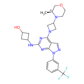 C[C@H]1COCCN1C1CN(c2nc(NC3CC(O)C3)nc3c2cnn3-c2cccc(C(F)(F)F)c2)C1